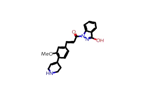 COc1cc(C=CC(=O)n2nc(O)c3ccccc32)ccc1C1=CCNCC1